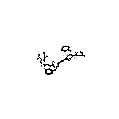 CC(C)C[C@H](O)[C@H](O)[C@@H](CC1CCCCC1)NC(=O)C#CCCN(Cc1ccccc1)C(=O)CCC(=O)[N+](C)(CCN(C)C)CCN(C)C